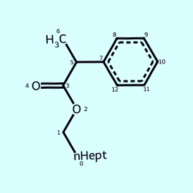 CCCCCCCCOC(=O)C(C)c1ccccc1